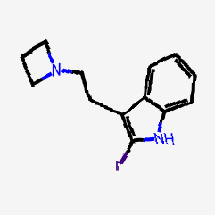 Ic1[nH]c2ccccc2c1CCN1CCC1